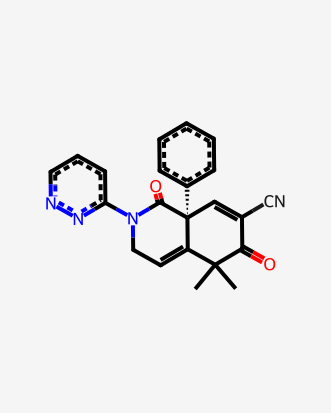 CC1(C)C(=O)C(C#N)=C[C@]2(c3ccccc3)C(=O)N(c3cccnn3)CC=C12